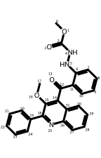 COC(=O)NNc1ccccc1C(=O)c1c(OC)c(-c2ccccc2)nc2ccccc12